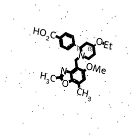 CCO[C@H]1CCN(Cc2c(OC)cc(C)c3oc(C)nc23)[C@H](c2ccc(C(=O)O)cc2)C1